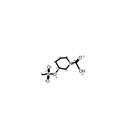 CS(=O)(=O)O[C@H]1CCCN(C(=O)O)C1